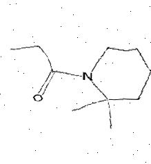 CCC(=O)N1CCCCC1(C)C